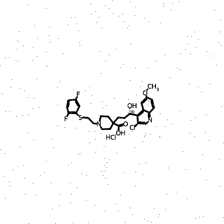 COc1ccc2ncc(Cl)c([C@@H](O)CCC3(C(=O)O)CCN(CCSc4cc(F)ccc4F)CC3)c2c1.Cl